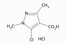 Cc1nn(C)c(Cl)c1C(=O)O.Cl